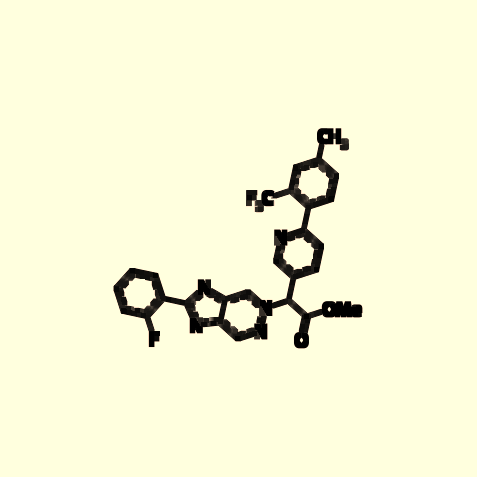 COC(=O)C(c1ccc(-c2ccc(C)cc2C(F)(F)F)nc1)n1cc2nc(-c3ccccc3F)nc-2cn1